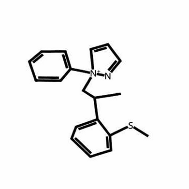 CSc1ccccc1C(C)C[N+]1(c2ccccc2)C=CC=N1